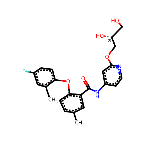 Cc1ccc(Oc2ccc(F)cc2C)c(C(=O)Nc2ccnc(OC[C@H](O)CO)c2)c1